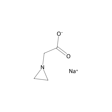 O=C([O-])CN1CC1.[Na+]